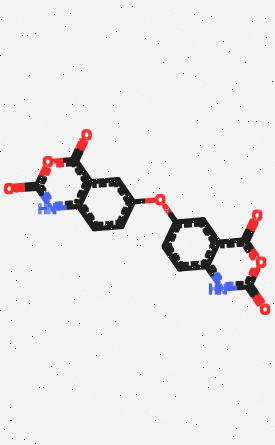 O=c1[nH]c2ccc(Oc3ccc4[nH]c(=O)oc(=O)c4c3)cc2c(=O)o1